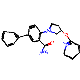 NC(=O)c1cc(-c2ccccc2)ccc1N1CC[C@@H](OC2=NCCC=C2)C1